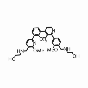 COc1cc(-c2nccc(-c3cccc(-c4ccc(CNCCO)c(OC)n4)c3C(F)(F)F)c2Cl)ccc1CNCCO